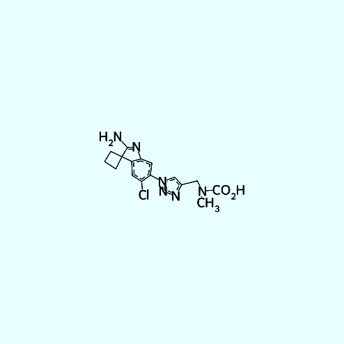 CN(Cc1cn(-c2cc3c(cc2Cl)C2(CCC2)C(N)=N3)nn1)C(=O)O